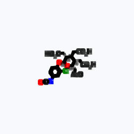 CC(=O)OC[C@@H]1O[C@@H](Oc2ccc(N=C=O)cc2Cl)[C@H](CC(=O)O)[C@@H](CC(=O)O)[C@@H]1CC(=O)O